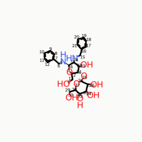 OCC1O[C@@H](NCc2ccccc2)C(NCc2ccccc2)[C@@H](O)[C@@H]1O[C@@H]1OC(CO)[C@H](O)[C@H](O)C1O